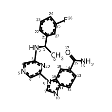 CC(Nc1cncc(-n2cnc3ccc(C(N)=O)cc32)n1)c1cccc(F)c1